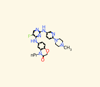 CCCN1C(=O)COc2ccc(Nc3nc(Nc4ccc(N5CCN(C)CC5)nc4)ncc3F)cc21